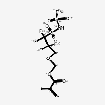 C=C(C)C(=O)OCOCC(F)(F)C(F)(F)S(=O)(=O)NS(=O)(=O)CCCC